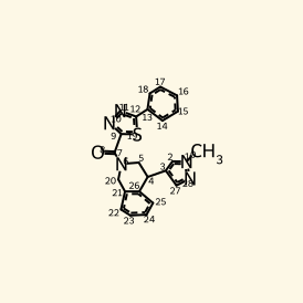 Cn1cc(C2CN(C(=O)c3nnc(-c4ccccc4)s3)Cc3ccccc32)cn1